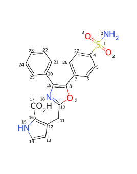 NS(=O)(=O)c1ccc(-c2oc(Cc3cc[nH]c3C(=O)O)nc2-c2ccccc2)cc1